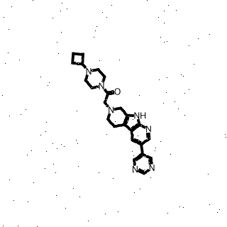 O=C(CN1CCc2c([nH]c3ncc(-c4cncnc4)cc23)C1)N1CCN(C2CCC2)CC1